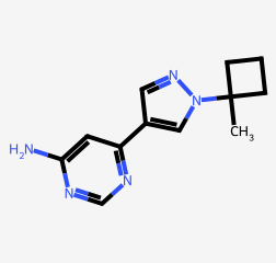 CC1(n2cc(-c3cc(N)ncn3)cn2)CCC1